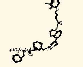 Cc1cccc(OCCCC(=O)N2CCCc3c(-c4cnn(Cc5cccc(C(=O)N[C@@H](Cc6ccccc6)C(=O)O)c5)c4)cccc32)c1C